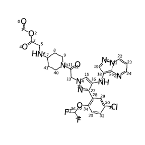 O=COC(=O)CNC1CCN(C(=O)Cn2cc(Nc3cnn4cccnc34)c(-c3cc(Cl)ccc3OC(F)F)n2)CC1